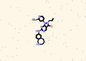 C=CCn1c(=O)c2cnc(Nc3ccc4c(c3)CCCNC4)nc2n1-c1ccnc(C(C)(C)C)c1